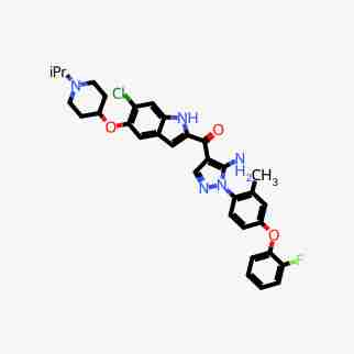 Cc1cc(Oc2ccccc2F)ccc1-n1ncc(C(=O)c2cc3cc(OC4CCN(C(C)C)CC4)c(Cl)cc3[nH]2)c1N